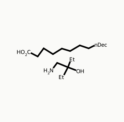 CCC(O)(CC)CN.CCCCCCCCCCCCCCCCCC(=O)O